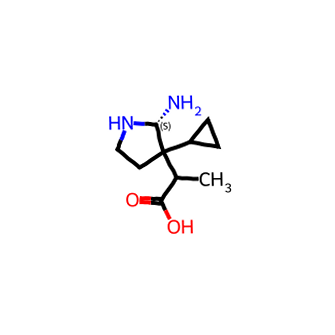 CC(C(=O)O)C1(C2CC2)CCN[C@@H]1N